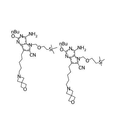 CCCCOc1nc(N)c2c(n1)c(CCCCCN1CC3(COC3)C1)c(C#N)n2COCC[Si](C)(C)C.CCCCOc1nc(N)c2c(n1)c(CCCCCN1CC3(COC3)C1)c(C#N)n2COCC[Si](C)(C)C